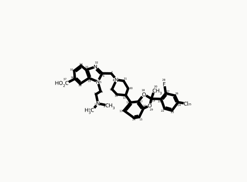 CN(C)CCn1c(CN2CCC(c3cccc4c3OC(C)(c3ccc(Cl)cc3F)O4)CC2)nc2ccc(C(=O)O)cc21